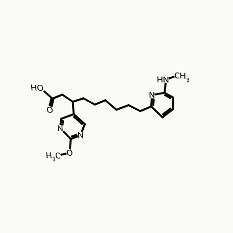 CNc1cccc(CCCCCCC(CC(=O)O)c2cnc(OC)nc2)n1